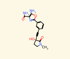 CN1CC[C@@](O)(C#Cc2cccc(-c3nc(C(N)=O)c(N)o3)c2)C1=O